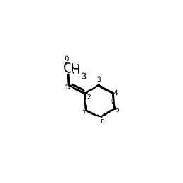 C[C]=C1CCCCC1